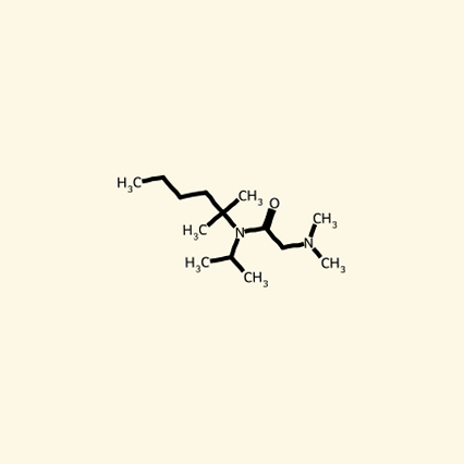 CCCCC(C)(C)N(C(=O)CN(C)C)C(C)C